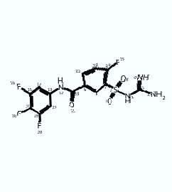 N=C(N)NS(=O)(=O)c1cc(C(=O)Nc2cc(F)c(F)c(F)c2)ccc1F